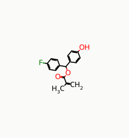 C=C(C)C(=O)OC(c1ccc(O)cc1)c1ccc(F)cc1